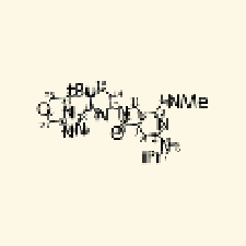 CNCc1nc(N(C)C(C)C)cc2c1CN(c1cccc(-c3nnc4n3[C@@H](C(C)(C)C)COC4)n1)C2=O